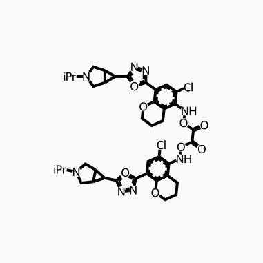 CC(C)N1CC2C(C1)C2c1nnc(-c2cc(Cl)c(NOC(=O)C(=O)ONc3c(Cl)cc(-c4nnc(C5C6CN(C(C)C)CC65)o4)c4c3CCCO4)c3c2OCCC3)o1